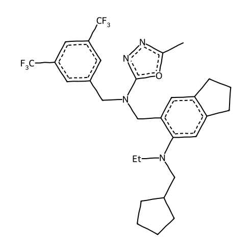 CCN(CC1CCCC1)c1cc2c(cc1CN(Cc1cc(C(F)(F)F)cc(C(F)(F)F)c1)c1nnc(C)o1)CCC2